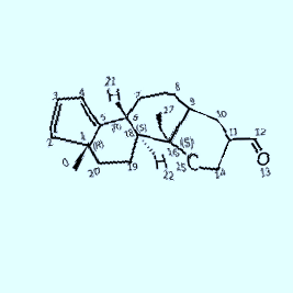 C[C@@]12C=CC=C1[C@@H]1CCC3CC(C=O)CC[C@]3(C)[C@H]1CC2